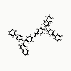 C(=C\c1ccc(N(c2ccc(-c3ccccc3)cc2)c2ccc3ccccc3c2)cc1)/c1ccc(N(c2ccc(-c3ccccc3)cc2)c2ccc3ccccc3c2)cc1